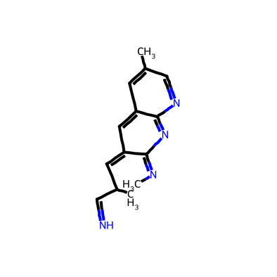 C/N=C1/N=c2ncc(C)cc2=C/C1=C/C(C)C=N